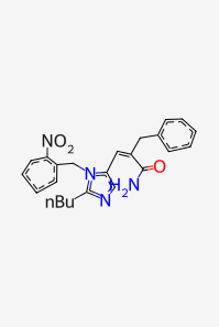 CCCCc1ncc(C=C(Cc2ccccc2)C(N)=O)n1Cc1ccccc1[N+](=O)[O-]